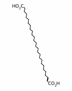 O=C(O)C=CCCCCCCCCCCCCCCCCCCCCCCCCC(=O)O